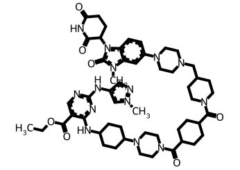 CCOC(=O)c1cnc(Nc2cnn(C)c2)nc1NC1CCC(N2CCN(C(=O)C3CCC(C(=O)N4CCC(CN5CCN(c6ccc7c(c6)n(C)c(=O)n7C6CCC(=O)NC6=O)CC5)CC4)CC3)CC2)CC1